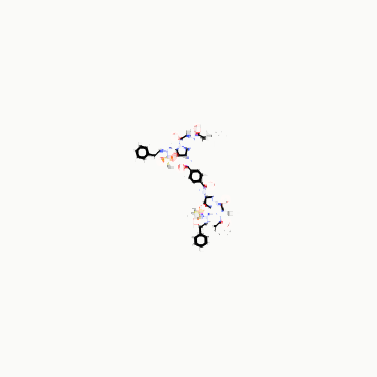 CN[C@@H](C)C(=O)N[C@H](C(=O)N1C[C@@H](NC(=O)c2ccc(C(=O)N[C@H]3C[C@@H](CN(CCc4ccccc4)S(C)(=O)=O)N(C(=O)[C@@H](NC(=O)[C@H](C)NC)C(C)(C)C)C3)cc2)C[C@H]1CN(CCc1ccccc1)S(C)(=O)=O)C(C)(C)C